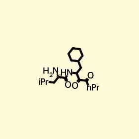 CCCC(=O)C(=O)C(CC1CCCCC1)NC(=O)[C@@H](N)CC(C)C